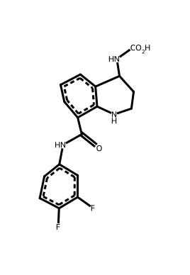 O=C(O)NC1CCNc2c(C(=O)Nc3ccc(F)c(F)c3)cccc21